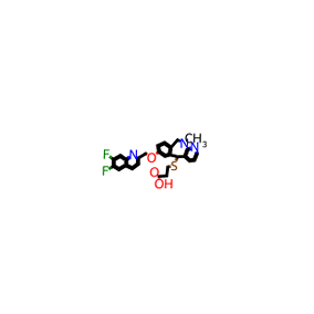 CN1Cc2ccc(OCc3ccc4cc(F)c(F)cc4n3)cc2C(SCCC(=O)O)c2cccnc21